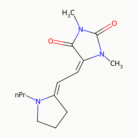 CCCN1CCC/C1=C\C=C1/C(=O)N(C)C(=O)N1C